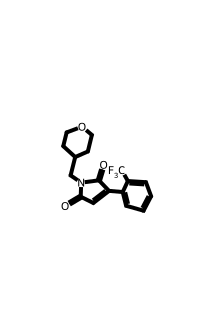 O=C1C=C(c2ccccc2C(F)(F)F)C(=O)N1CC1CCOCC1